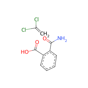 C=C(Cl)Cl.NC(=O)c1ccccc1C(=O)O